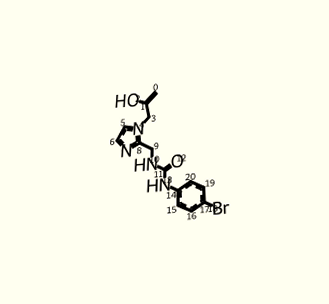 C=C(O)Cn1ccnc1CNC(=O)Nc1ccc(Br)cc1